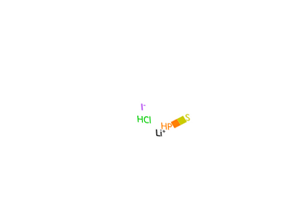 Cl.P=S.[I-].[Li+]